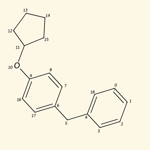 [c]1cccc(Cc2ccc(OC3CCCC3)cc2)c1